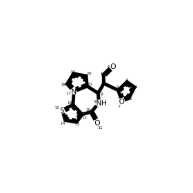 O=CC(c1ccco1)C1NC(=O)c2ccsc2-n2cccc21